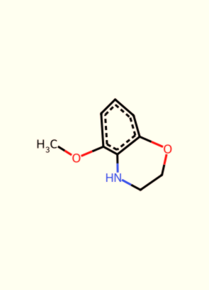 COc1cccc2c1NCCO2